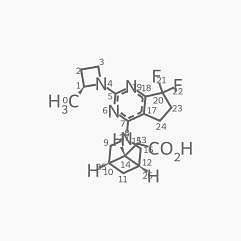 C[C@H]1CCN1c1nc(N2C[C@H]3C[C@@H](C2)[C@H]3CC(=O)O)c2c(n1)C(F)(F)CC2